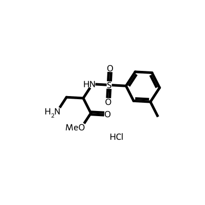 COC(=O)C(CN)NS(=O)(=O)c1cccc(C)c1.Cl